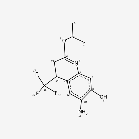 CC(C)OC1=Nc2cc(O)c(N)cc2C(C(F)(F)F)C1